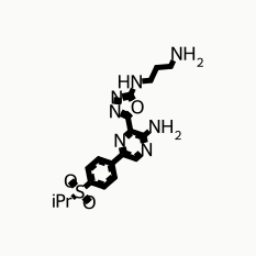 CC(C)S(=O)(=O)c1ccc(-c2cnc(N)c(-c3nnc(NCCCN)o3)n2)cc1